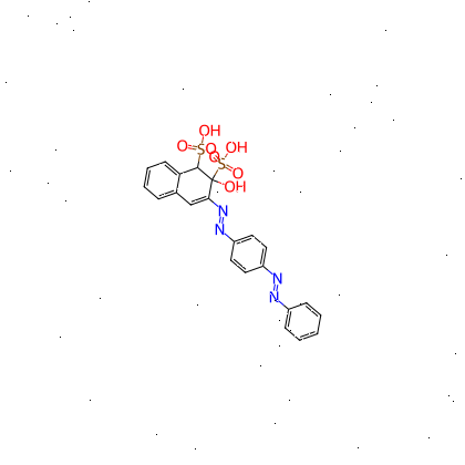 O=S(=O)(O)C1c2ccccc2C=C(N=Nc2ccc(N=Nc3ccccc3)cc2)C1(O)S(=O)(=O)O